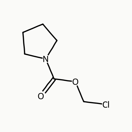 O=C(OCCl)N1CCCC1